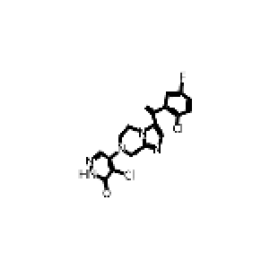 C=C(c1cc(F)ccc1Cl)c1cnc2n1CCN(c1cn[nH]c(=O)c1Cl)C2